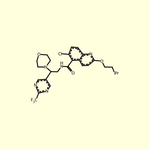 CC(C)CCOc1ccc2c(C(=O)NCC(c3cnc(C(F)(F)F)nc3)N3CCOCC3)c(Cl)ccc2n1